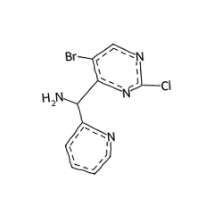 NC(c1ccccn1)c1nc(Cl)ncc1Br